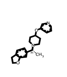 C[C@H](c1ccc2c(c1)OCC2)N1CCC(Oc2cccnc2)CC1